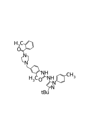 Cc1ccc(-n2nc(C(C)(C)C)cc2NC(=O)Nc2ccc(CN3CCN(C(=O)c4ccccc4C)CC3)cc2C)cc1